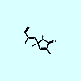 C=C/C(C)=C/[C@@]1(C)C=C(C)C(=O)N1